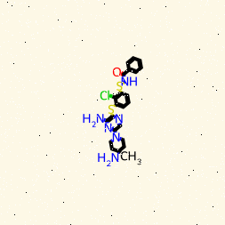 CC1(N)CCN(c2cnc(Sc3cccc(SNC(=O)c4ccccc4)c3Cl)c(N)n2)CC1